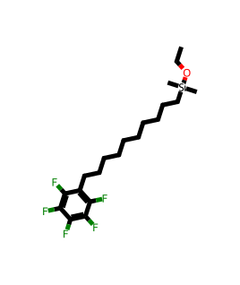 CCO[Si](C)(C)CCCCCCCCCCc1c(F)c(F)c(F)c(F)c1F